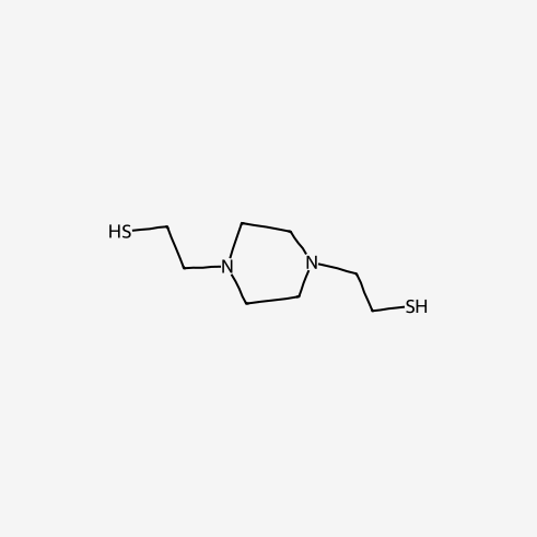 SCCN1CCN(CCS)CC1